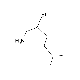 CCC(CN)CCC(C)I